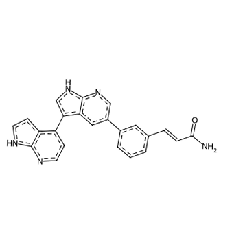 NC(=O)/C=C/c1cccc(-c2cnc3[nH]cc(-c4ccnc5[nH]ccc45)c3c2)c1